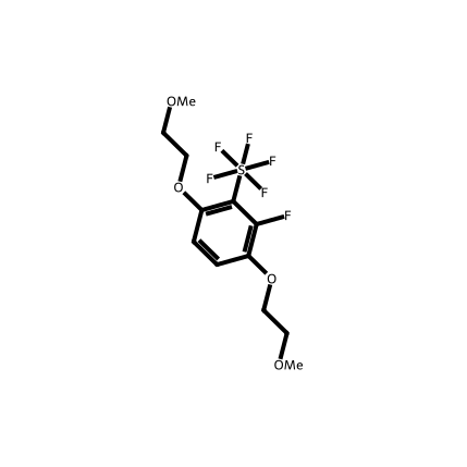 COCCOc1ccc(OCCOC)c(S(F)(F)(F)(F)F)c1F